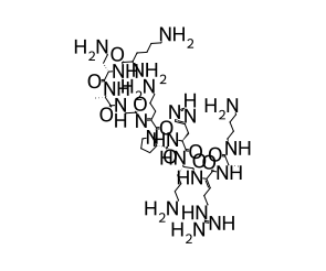 C[C@H](NC(=O)/C(=C/CCNC(=N)N)NC(=O)[C@H](CCCCN)NC(=O)[C@H](Cc1cnc[nH]1)NC(=O)[C@@H]1CCCN1C(=O)/C(CCCN)=N/C(=O)CNC(=O)[C@H](C)NC(=O)[C@H](CCN)NC(=O)[C@@H](N)CCCCN)C(=O)NCCCCN